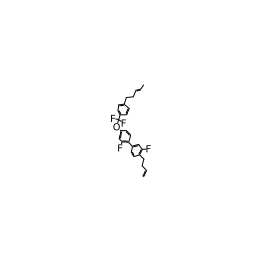 C=CCCc1ccc(-c2ccc(OC(F)(F)c3ccc(CC/C=C/C)cc3)cc2F)cc1F